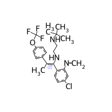 C=Nc1cc(Cl)ccc1/C(NCCNC(C)(C)C)=C(\C)c1ccc(OC(F)(F)F)cc1